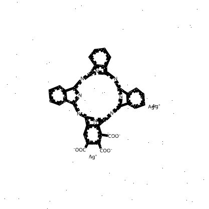 O=C([O-])c1cc2c3nc4nc(nc5[nH]c(nc6nc(nc([nH]3)c2c(C(=O)[O-])c1C(=O)[O-])-c1ccccc1-6)c1ccccc51)-c1ccccc1-4.[Ag+].[Ag+].[Ag+]